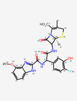 CC1=C(C(=O)O)N2C(=O)C(NC(=O)C(NC(=O)c3nc4c(OC(C)C)cccc4[nH]3)c3ccc(F)c(O)c3)[C@@H]2SC1